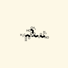 CC(O)CC(=O)OC[C@H](CCOC(=O)CC(C)N=O)OC(=O)CC(C)O